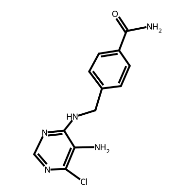 NC(=O)c1ccc(CNc2ncnc(Cl)c2N)cc1